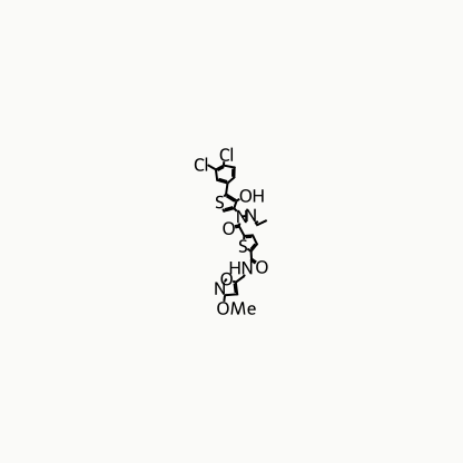 CC=NN(C(=O)c1ccc(C(=O)NCc2cc(OC)no2)s1)c1csc(-c2ccc(Cl)c(Cl)c2)c1O